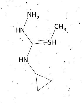 C[SH]=C(NN)NC1CC1